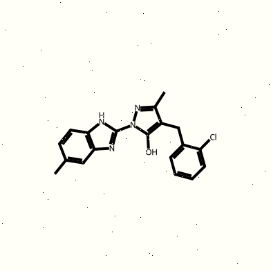 Cc1ccc2[nH]c(-n3nc(C)c(Cc4ccccc4Cl)c3O)nc2c1